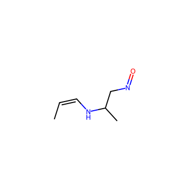 C/C=C\NC(C)CN=O